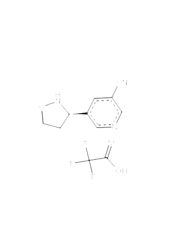 N#Cc1cncc([C@H]2CCON2)c1.O=C(O)C(F)(F)F